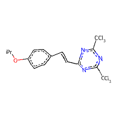 CC(C)Oc1ccc(/C=C/c2nc(C(Cl)(Cl)Cl)nc(C(Cl)(Cl)Cl)n2)cc1